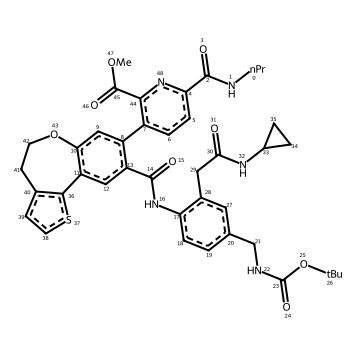 CCCNC(=O)c1ccc(-c2cc3c(cc2C(=O)Nc2ccc(CNC(=O)OC(C)(C)C)cc2CC(=O)NC2CC2)-c2sccc2CCO3)c(C(=O)OC)n1